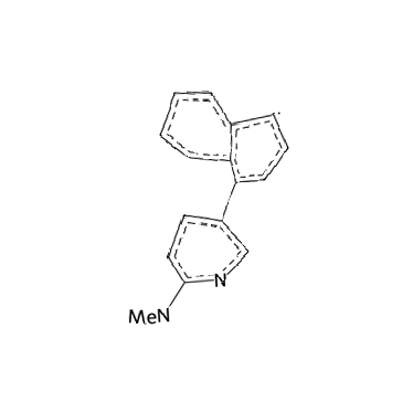 CNc1ccc(-c2cc[c]c3ccccc23)cn1